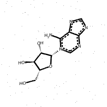 Nc1c2ncnc-2ncn1[C@@H]1O[C@H](CO)[C@@H](O)[C@@H]1O